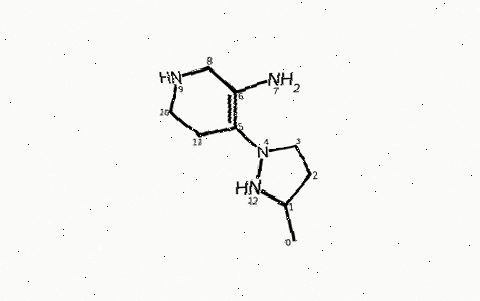 CC1CCN(C2=C(N)CNCC2)N1